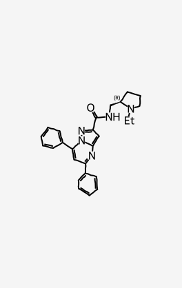 CCN1CCC[C@@H]1CNC(=O)c1cc2nc(-c3ccccc3)cc(-c3ccccc3)n2n1